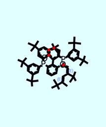 C=C(/C=C(\C=C(/C)C(C)(C)C)C(C)(C)C)P(c1cc(C(C)(C)C)cc(C(C)(C)C)c1)c1cccc(OC)c1-c1c(OC)cccc1P(c1cc(C(C)(C)C)cc(C(C)(C)C)c1)c1cc(C(C)(C)C)cc(C(C)(C)C)c1